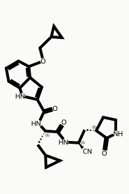 N#C[C@H](C[C@@H]1CCNC1=O)NC(=O)[C@H](CC1CC1)NC(=O)c1cc2c(OCC3CC3)cccc2[nH]1